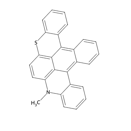 CN1c2ccccc2-c2c3ccccc3c3c4c(ccc1c24)Sc1ccccc1-3